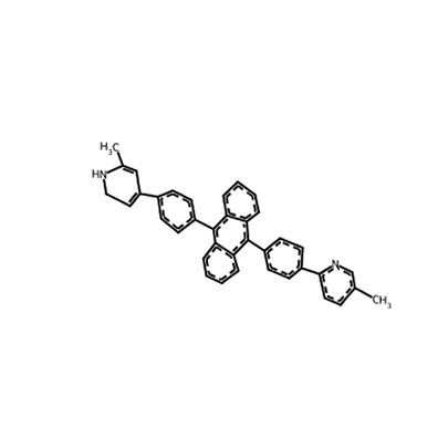 CC1=CC(c2ccc(-c3c4ccccc4c(-c4ccc(-c5ccc(C)cn5)cc4)c4ccccc34)cc2)=CCN1